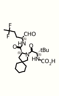 CC(F)(F)CC[C@@H](C=O)NC(=O)[C@@H]1CC2(CCCCC2)CN1C(=O)[C@@H](NC(=O)O)C(C)(C)C